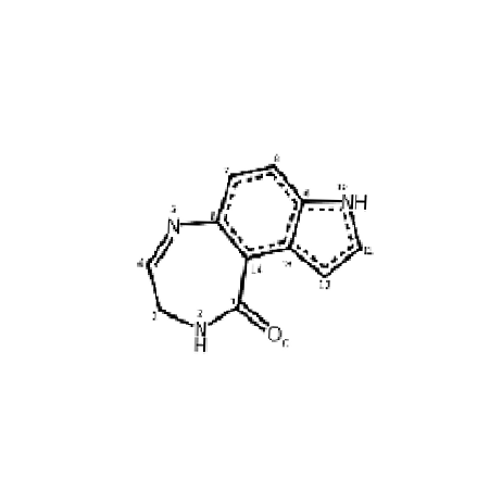 O=C1NCC=Nc2ccc3[nH]ccc3c21